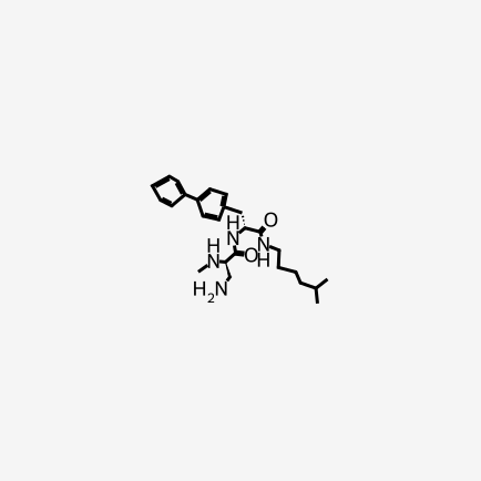 CN[C@H](CN)C(=O)N[C@H](Cc1ccc(-c2ccccc2)cc1)C(=O)NCCCCC(C)C